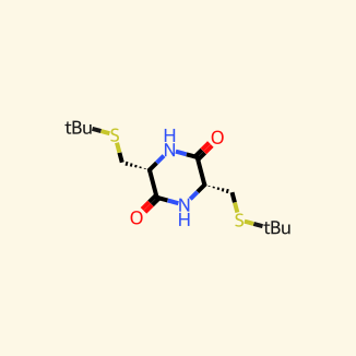 CC(C)(C)SC[C@@H]1NC(=O)[C@H](CSC(C)(C)C)NC1=O